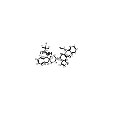 CCSc1ccccc1Sc1cnc(N2CCC3(CC2)Cc2ccccc2[C@H]3N[S@+]([O-])C(C)(C)C)n2ccnc12